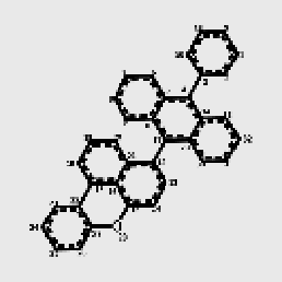 c1ccc(-c2c3ccccc3c(-c3ccc4c5c(cccc35)-c3ccccc3O4)c3ccccc23)cc1